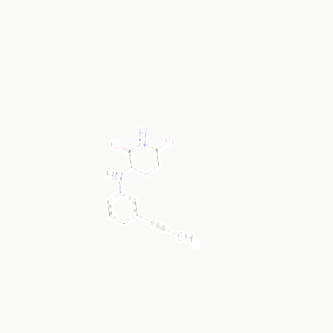 CC#Cc1cccc(NC2CCC(=O)NC2=O)c1